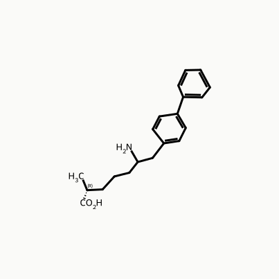 C[C@H](CCCC(N)Cc1ccc(-c2ccccc2)cc1)C(=O)O